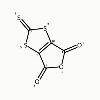 O=C1OC(=O)c2sc(=S)sc21